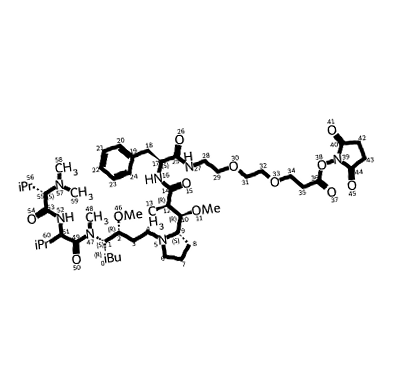 CC[C@@H](C)[C@@H]([C@@H](CCN1CCC[C@H]1[C@H](OC)[C@@H](C)C(=O)N[C@@H](Cc1ccccc1)C(=O)NCCOCCOCCC(=O)ON1C(=O)CCC1=O)OC)N(C)C(=O)C(NC(=O)[C@H](C(C)C)N(C)C)C(C)C